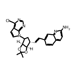 CC1(C)O[C@@H]2[C@@H](/C=C/c3ccc4ccc(N)nc4c3)CC(n3ccc4c(Cl)ncnc43)[C@@H]2O1